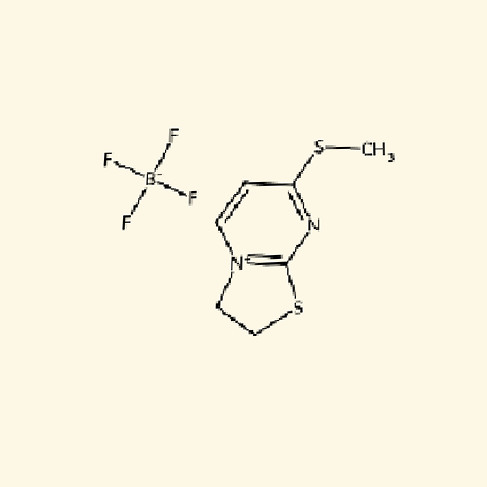 CSc1cc[n+]2c(n1)SCC2.F[B-](F)(F)F